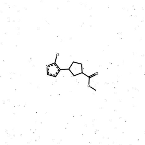 COC(=O)C1CCC(c2ccsc2Cl)C1